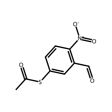 CC(=O)Sc1ccc([N+](=O)[O-])c(C=O)c1